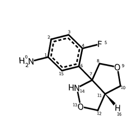 Nc1ccc(F)c(C23COC[C@@H]2CON3)c1